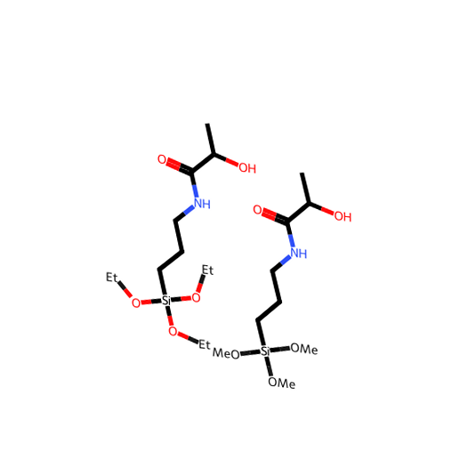 CCO[Si](CCCNC(=O)C(C)O)(OCC)OCC.CO[Si](CCCNC(=O)C(C)O)(OC)OC